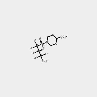 O=C(O)C1CCN(S(=O)(=O)C(F)(F)C(F)(F)C(F)(F)S(=O)(=O)O)CC1